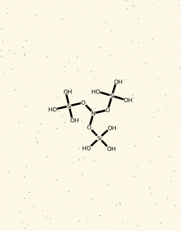 O[Si](O)(O)ON(O[Si](O)(O)O)O[Si](O)(O)O